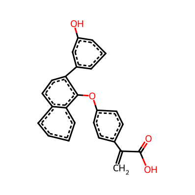 C=C(C(=O)O)c1ccc(Oc2c(-c3cccc(O)c3)ccc3ccccc23)cc1